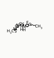 CCCCCOc1ccc(NC(=S)NC(=O)c2cc(-c3csc(C)n3)on2)cc1F